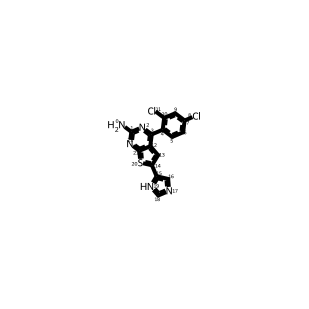 Nc1nc(-c2ccc(Cl)cc2Cl)c2cc(-c3cnc[nH]3)sc2n1